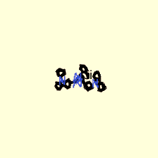 C[Si]1(C)c2ccccc2-c2nc(-c3ccc4c5ccccc5n(-c5ccccc5)c4c3)nc(-c3cccc(-n4c5ccccc5c5ccccc54)c3)c21